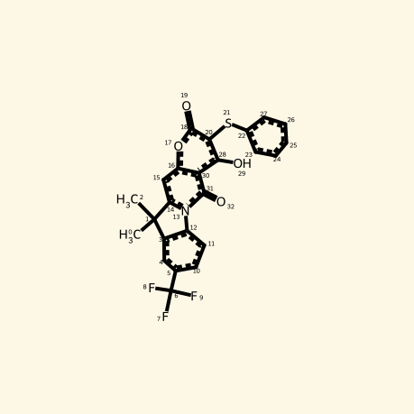 CC1(C)c2cc(C(F)(F)F)ccc2-n2c1cc1oc(=O)c(Sc3ccccc3)c(O)c1c2=O